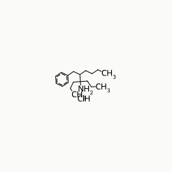 CCCCC(Cc1ccccc1)C(N)(CCC)CCC.Cl